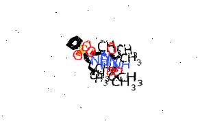 CC(C)C[C@@H](/C=C/S(=O)(=O)c1ccccc1)NC(=O)[C@H](C)NC(=O)[C@@H](NNC(=O)OC(C)(C)C)C(C)C